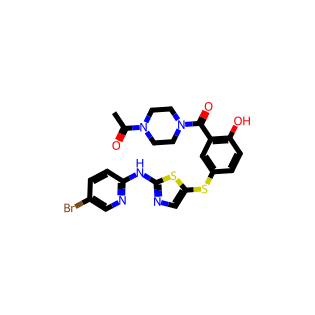 CC(=O)N1CCN(C(=O)c2cc(Sc3cnc(Nc4ccc(Br)cn4)s3)ccc2O)CC1